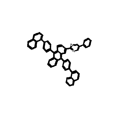 c1ccc(-c2cnc(-c3ccc4c(-c5ccc(-c6cccc7ccccc67)cc5)c5ccccc5c(-c5ccc(-c6cccc7ccccc67)cc5)c4c3)nc2)cc1